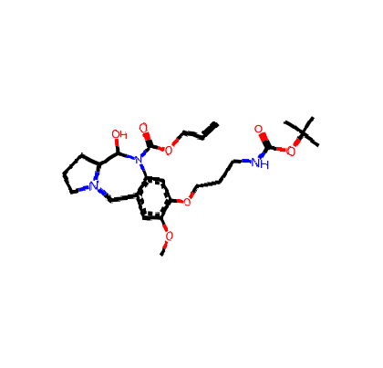 C=CCOC(=O)N1c2cc(OCCCNC(=O)OC(C)(C)C)c(OC)cc2CN2CCCC2C1O